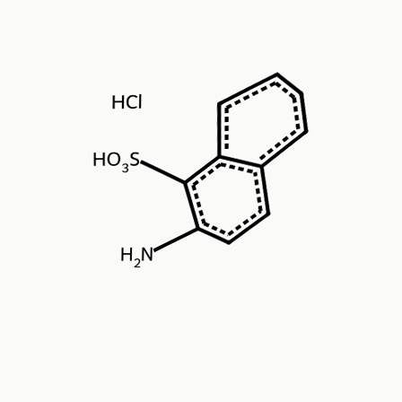 Cl.Nc1ccc2ccccc2c1S(=O)(=O)O